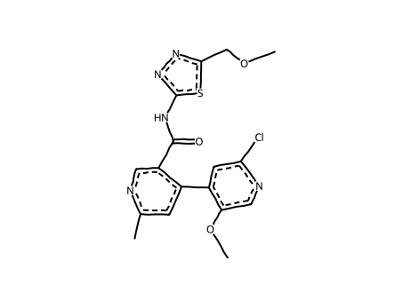 COCc1nnc(NC(=O)c2cnc(C)cc2-c2cc(Cl)ncc2OC)s1